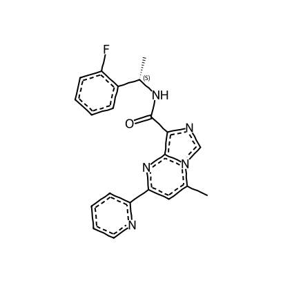 Cc1cc(-c2ccccn2)nc2c(C(=O)N[C@@H](C)c3ccccc3F)ncn12